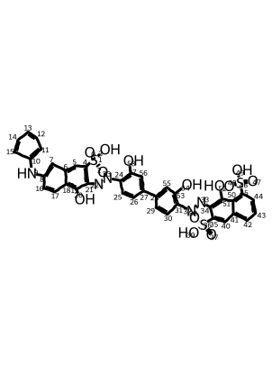 O=S(=O)(O)c1cc2cc(Nc3ccccc3)ccc2c(O)c1/N=N/c1ccc(-c2ccc(/N=N/c3c(S(=O)(=O)O)cc4cccc(S(=O)(=O)O)c4c3O)c(O)c2)cc1O